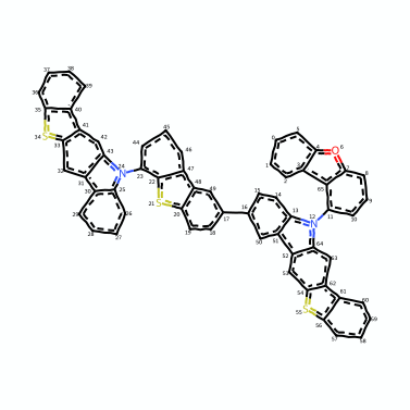 c1ccc2c(c1)oc1cccc(-n3c4ccc(-c5ccc6sc7c(-n8c9ccccc9c9cc%10sc%11ccccc%11c%10cc98)cccc7c6c5)cc4c4cc5sc6ccccc6c5cc43)c12